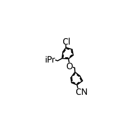 CC(C)Cc1cc(Cl)ccc1OCc1ccc(C#N)cc1